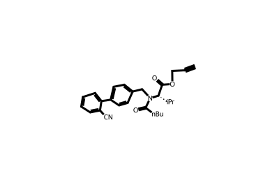 C#CCOC(=O)[C@H](C(C)C)N(Cc1ccc(-c2ccccc2C#N)cc1)C(=O)CCCC